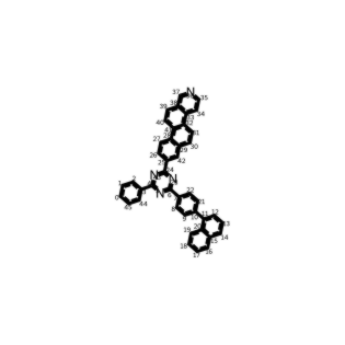 c1ccc(-c2nc(-c3ccc(-c4cccc5ccccc45)cc3)nc(-c3ccc4c(ccc5c6ccncc6ccc45)c3)n2)cc1